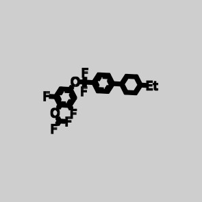 CCC1CCC(c2ccc(C(F)(F)Oc3cc(F)c(OC(F)F)c(F)c3)cc2)CC1